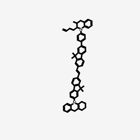 C=CCCC1C(C)Cc2ccccc2N1c1ccc(-c2ccc3c(c2)C(C)(C)c2cc(/C=C/c4ccc5c(c4)C(C)(C)c4cc(N6C7=C(CCCC7)Cc7ccccc76)ccc4-5)ccc2-3)cc1